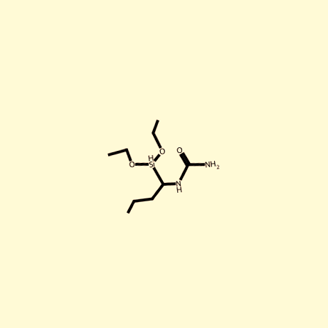 CCCC(NC(N)=O)[SiH](OCC)OCC